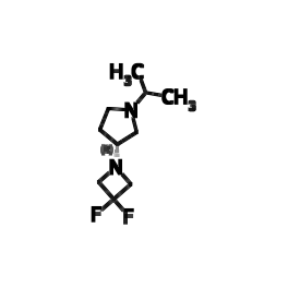 CC(C)N1CC[C@@H](N2CC(F)(F)C2)C1